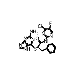 Nc1nc(S[C@H](Cc2ccccc2)C(=O)Nc2ncc(F)c(Cl)n2)c2[nH]cnc2n1